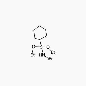 CCO[Si](NC(C)C)(OCC)C1CCCCC1